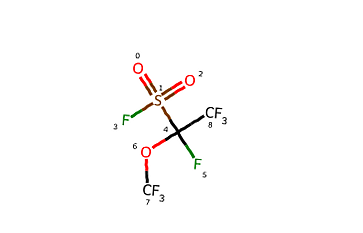 O=S(=O)(F)C(F)(OC(F)(F)F)C(F)(F)F